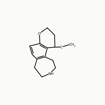 CCC1CCOc2ccc3c(c21)CCNCC3